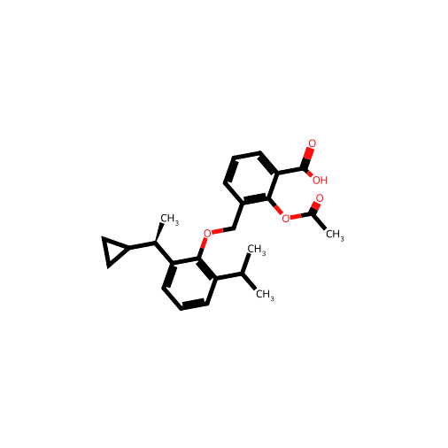 CC(=O)Oc1c(COc2c(C(C)C)cccc2[C@H](C)C2CC2)cccc1C(=O)O